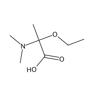 CCOC(C)(C(=O)O)N(C)C